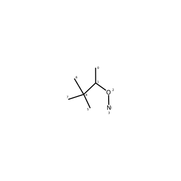 CC(O[N])C(C)(C)C